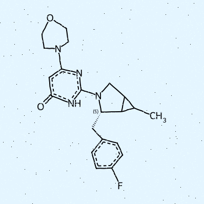 CC1C2CN(c3nc(N4CCOCC4)cc(=O)[nH]3)[C@@H](Cc3ccc(F)cc3)C12